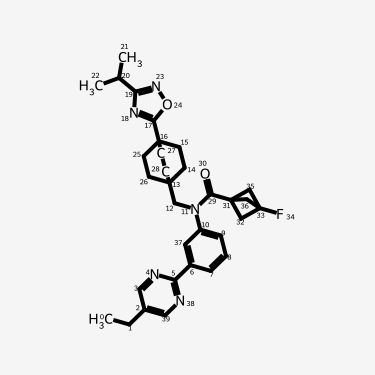 CCc1cnc(-c2cccc(N(CC34CCC(c5nc(C(C)C)no5)(CC3)CC4)C(=O)C34CC(F)(C3)C4)c2)nc1